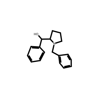 OC(c1ccccc1)C1CCCN1Cc1ccccc1